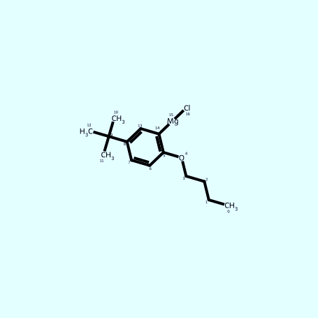 CCCCOc1ccc(C(C)(C)C)c[c]1[Mg][Cl]